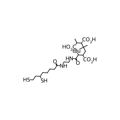 CC(C(=O)O)C(C(=O)O)C(C)(C)CC(C(=O)O)C(C(=O)NCCNC(=O)CCCCC(S)CCS)C(C)(C)C